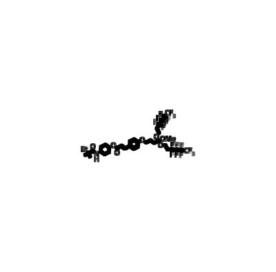 CCC(C)(C)C(=O)N[C@H]1CC[C@H](OC(=O)/C=C/c2ccc(OCCCC(OC)(OCCC(F)(F)C(F)(F)C(F)(F)C(F)(F)F)OCCC(F)(F)C(F)(F)C(F)(F)C(F)(F)F)cc2)CC1